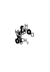 CS(=O)(=O)c1ccccc1-c1cnc(NC(=O)C2CCCN2C(=O)Nc2ccc(Cl)cc2)nc1